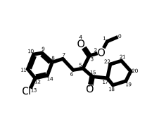 CCOC(=O)C(CCc1cccc(Cl)c1)C(=O)C1CCCCC1